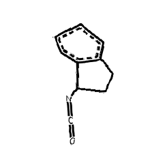 O=C=NC1CCc2cc[c]cc21